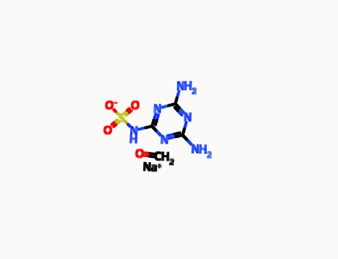 C=O.Nc1nc(N)nc(NS(=O)(=O)[O-])n1.[Na+]